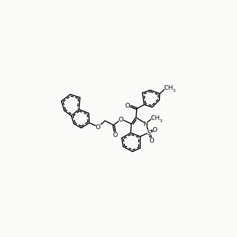 Cc1ccc(C(=O)C2=C(OC(=O)COc3ccc4ccccc4c3)c3ccccc3S(=O)(=O)N2C)cc1